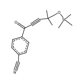 CC(C)(C#CC(=O)c1ccc(C#N)cc1)O[Si](C)(C)C